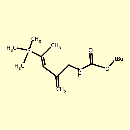 C=C(/C=C(\C)[Si](C)(C)C)CNC(=O)OC(C)(C)C